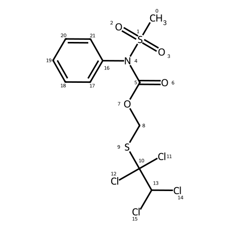 CS(=O)(=O)N(C(=O)OCSC(Cl)(Cl)C(Cl)Cl)c1ccccc1